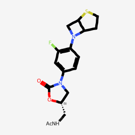 CC(=O)NC[C@H]1CN(c2ccc(N3CC4SCCC43)c(F)c2)C(=O)O1